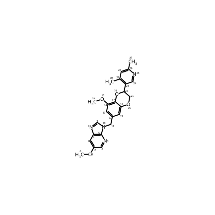 COc1cnc2c(c1)ncn2Cc1cc(OC)c2c(c1)OCC(c1cnc(C)cc1C)O2